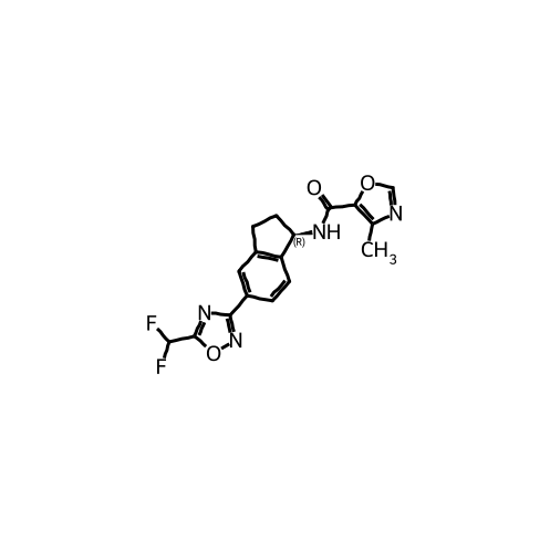 Cc1ncoc1C(=O)N[C@@H]1CCc2cc(-c3noc(C(F)F)n3)ccc21